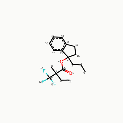 CCCC1(OC(=O)C(C)(CC)C(F)(F)F)CCc2ccccc21